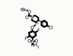 CC(C)(C)OC(=O)N1CC[C@@H](c2ccc(Cl)cc2)[C@H](COc2cc(F)c(S(N)(=O)=O)cc2F)C1